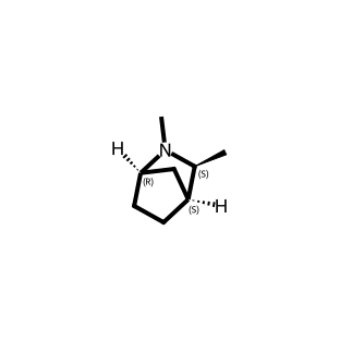 C[C@H]1[C@H]2CC[C@H](C2)N1C